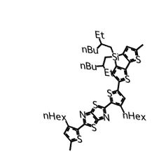 CCCCCCc1cc(C)sc1-c1nc2sc(-c3sc(-c4cc5c(s4)-c4sc(C)cc4[Si]5(CC(CC)CCCC)CC(CC)CCCC)cc3CCCCCC)nc2s1